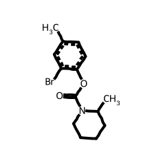 Cc1ccc(OC(=O)N2CCCCC2C)c(Br)c1